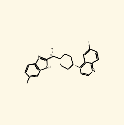 Cc1ccc2nc([C@H](C)[C@H]3CC[C@@H](c4ccnc5ccc(F)cc54)CC3)[nH]c2c1